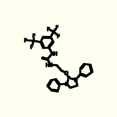 C=C(NCCOP1N(c2ccccc2)CCN1c1ccccc1)Nc1cc(C(F)(F)F)cc(C(F)(F)F)c1